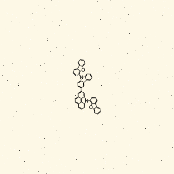 c1ccc2c(c1)oc1c(-n3c4ccccc4c4cc(-c5cc6ccc7cccc8c7c6c(c5)n8-c5cccc6c5oc5ccccc56)ccc43)cccc12